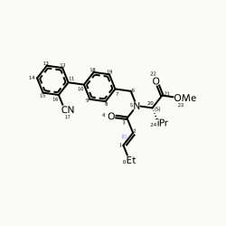 CC/C=C/C(=O)N(Cc1ccc(-c2ccccc2C#N)cc1)[C@H](C(=O)OC)C(C)C